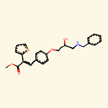 COC(=O)C(=Cc1ccc(OCC(O)CNCc2ccccc2)cc1)c1cccs1